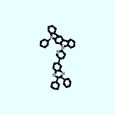 c1ccc(-c2nc3ccc(-c4ccc(-n5c6ccccc6c6cc7c8ccccc8n(-c8ccccc8)c7cc65)nc4)cc3nc2-c2ccccc2)cc1